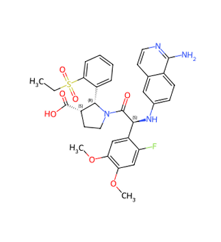 CCS(=O)(=O)c1ccccc1[C@H]1[C@@H](C(=O)O)CCN1C(=O)[C@@H](Nc1ccc2c(N)nccc2c1)c1cc(OC)c(OC)cc1F